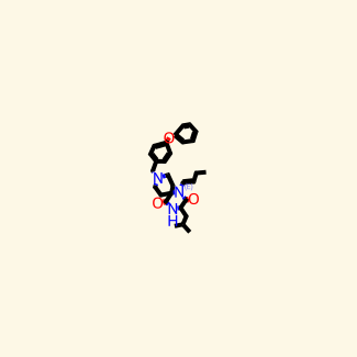 CC/C=C/N1C(=O)C(CC(C)C)NC(=O)C12CCN(Cc1ccc(Oc3ccccc3)cc1)CC2